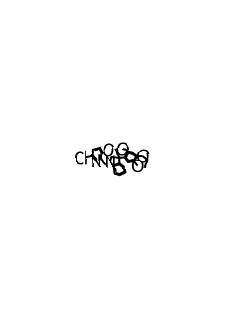 O=C1N(Cc2cccc(Cl)n2)c2ccccc2C12COc1cc3c(cc12)OCCO3